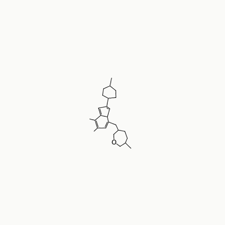 CC1=C(C)C2=CC(C3CCC(C)CC3)=CC2C(CC2CCC(C)COC2)=C1